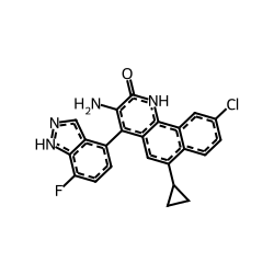 Nc1c(-c2ccc(F)c3[nH]ncc23)c2cc(C3CC3)c3ccc(Cl)cc3c2[nH]c1=O